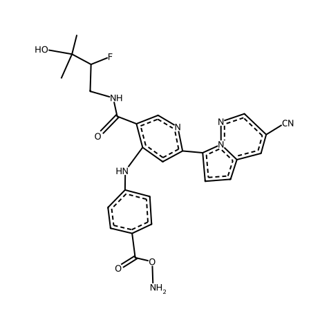 CC(C)(O)C(F)CNC(=O)c1cnc(-c2ccc3cc(C#N)cnn23)cc1Nc1ccc(C(=O)ON)cc1